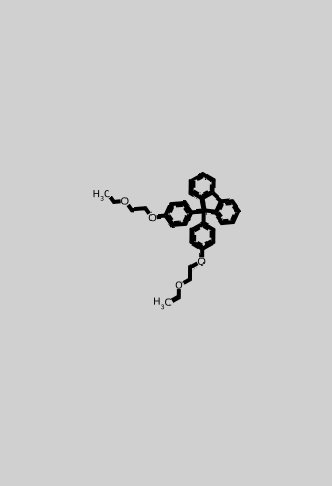 CCOCCOc1ccc(C2(c3ccc(OCCOCC)cc3)c3ccccc3-c3ccccc32)cc1